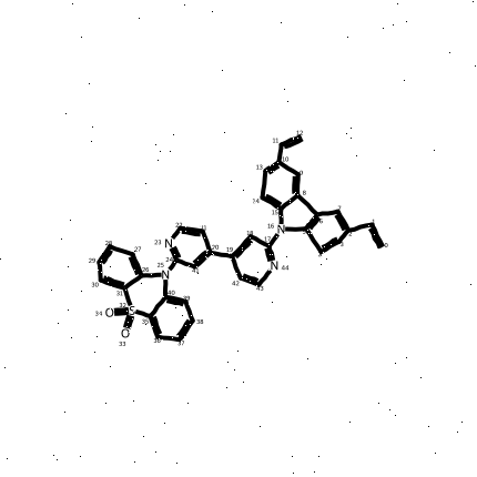 C=Cc1ccc2c(c1)c1cc(C=C)ccc1n2-c1cc(-c2ccnc(N3c4ccccc4S(=O)(=O)c4ccccc43)c2)ccn1